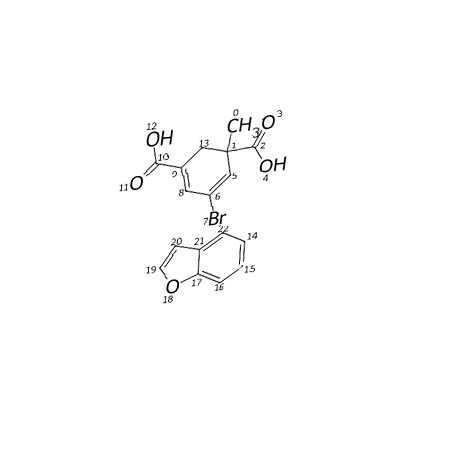 CC1(C(=O)O)C=C(Br)C=C(C(=O)O)C1.c1ccc2occc2c1